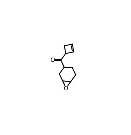 O=C(C1C=CC1)C1CCC2OC2C1